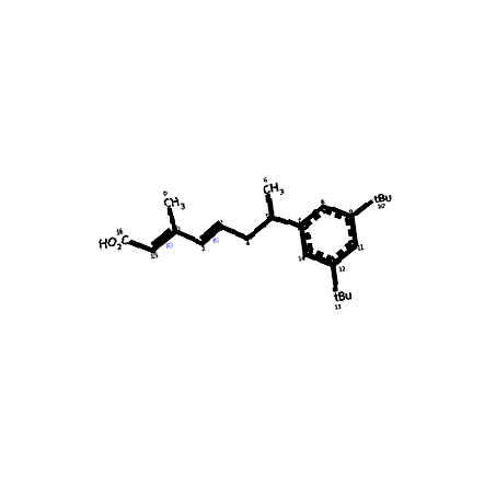 CC(/C=C/CC(C)c1cc(C(C)(C)C)cc(C(C)(C)C)c1)=C\C(=O)O